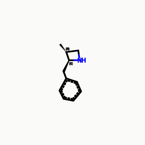 C[C@@H]1CN[C@H]1Cc1ccccc1